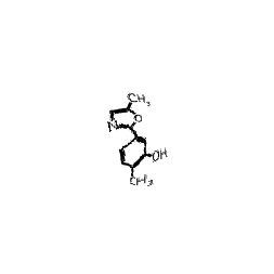 Cc1cnc(-c2ccc(C)c(O)c2)o1